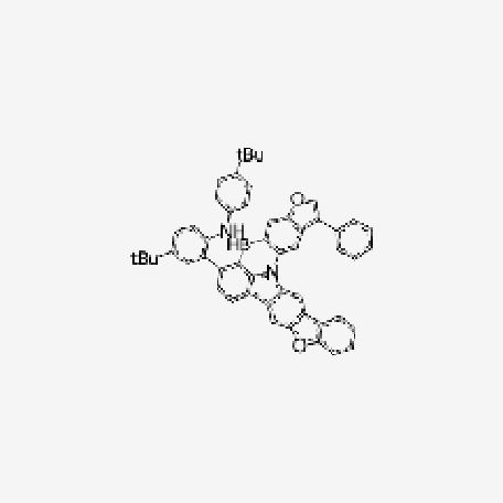 CC(C)(C)c1ccc(Nc2ccc(C(C)(C)C)cc2-c2ccc3c4cc5oc6ccccc6c5cc4n4c3c2Bc2cc3occ(-c5ccccc5)c3cc2-4)cc1